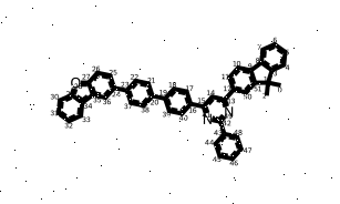 CC1(C)c2ccccc2-c2ccc(-c3cc(-c4ccc(-c5ccc(-c6ccc7oc8ccccc8c7c6)cc5)cc4)nc(-c4ccccc4)n3)cc21